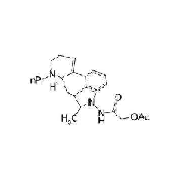 CCCN1CCC=C2c3cccc4c3C(C[C@H]21)C(C)N4NC(=O)COC(C)=O